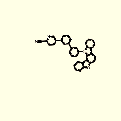 N#Cc1ccc(-c2cccc(-c3cccc(-n4c5ccccc5c5ccc6oc7ccccc7c6c54)c3)c2)cn1